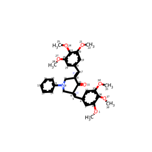 COc1cc(/C=C2/CN(c3ccccc3)C/C(=C\c3cc(OC)c(OC)c(OC)c3)C2=O)cc(OC)c1OC